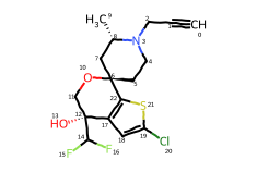 C#CCN1CC[C@]2(C[C@@H]1C)OC[C@](O)(C(F)F)c1cc(Cl)sc12